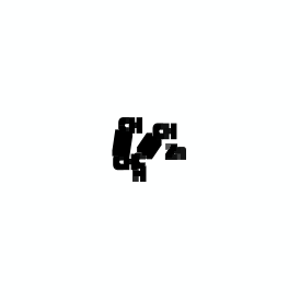 C#C.C#C.[Zn]